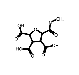 COC(=O)C1OC(C(=O)O)C(C(=O)O)C1C(=O)O